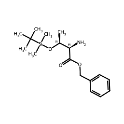 C[C@H](O[Si](C)(C)C(C)(C)C)[C@@H](N)C(=O)OCc1ccccc1